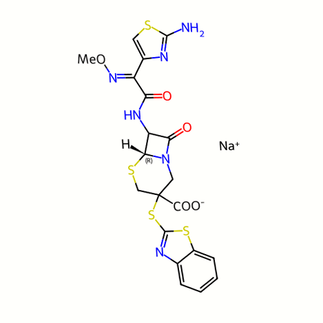 CON=C(C(=O)NC1C(=O)N2CC(Sc3nc4ccccc4s3)(C(=O)[O-])CS[C@H]12)c1csc(N)n1.[Na+]